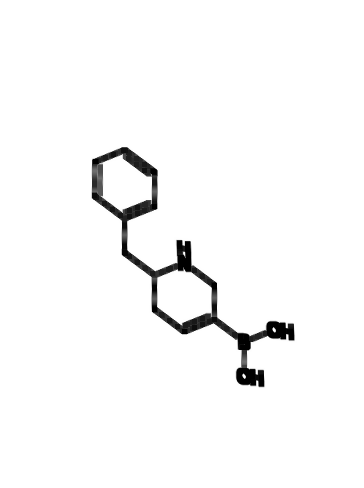 OB(O)C1=CCC(Cc2ccccc2)NC1